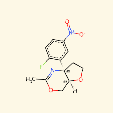 CC1=N[C@@]2(c3cc([N+](=O)[O-])ccc3F)CCO[C@H]2CO1